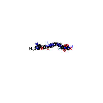 CC(C)n1ccc2c(OC3CCC(NC(=O)c4ccc(N5CCC(CN6CCN(c7cc8c(cc7F)C(=O)N(C7CCC(=O)NC7=O)C8=O)CC6)CC5)nn4)CC3)ccc(C#N)c21